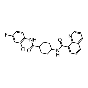 O=C(NC1CCC(C(=O)Nc2ccc(F)cc2Cl)CC1)c1cccc2cccnc12